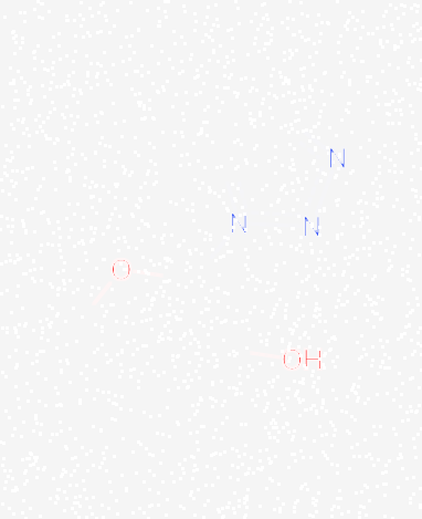 OC1CCCOC1n1ccnn1